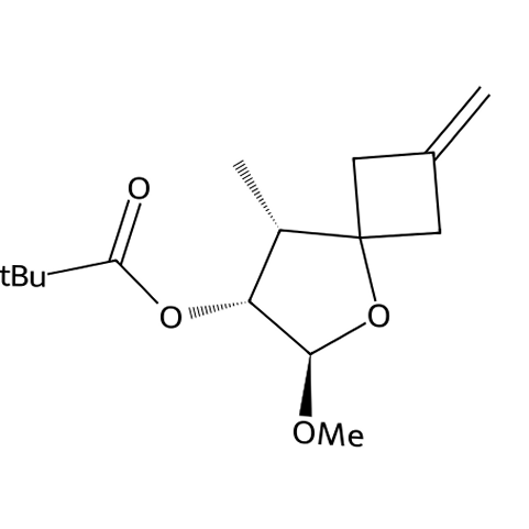 C=C1CC2(C1)O[C@@H](OC)[C@H](OC(=O)C(C)(C)C)[C@@H]2C